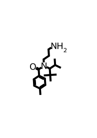 Cc1ccc(C(=O)N(CCCN)C(C(C)C)C(C)(C)C)cc1